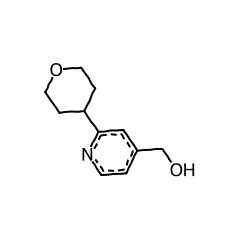 OCc1ccnc(C2CCOCC2)c1